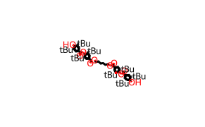 CC(C)(C)c1cc(C(=O)Oc2c(C(C)(C)C)cc(C(=O)OCCCCCCOC(=O)c3cc(C(C)(C)C)c(OC(=O)c4cc(C(C)(C)C)c(O)c(C(C)(C)C)c4)c(C(C)(C)C)c3)cc2C(C)(C)C)cc(C(C)(C)C)c1O